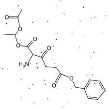 CC(=O)OC(C)OC(=O)C(N)C(=O)CCC(=O)OCc1ccccc1